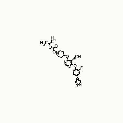 C#Cc1c(Oc2ccc(-n3cnnc3)cc2F)ncnc1OC1CCN(OC(=O)OC(C)C)CC1